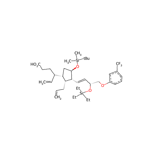 C=CC[C@H]1[C@@H](/C=C/[C@H](COc2cccc(C(F)(F)F)c2)O[Si](CC)(CC)CC)[C@H](O[Si](C)(C)C(C)(C)C)C[C@H]1C(C=C)CCC(=O)O